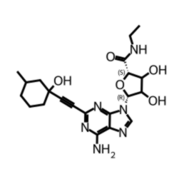 CCNC(=O)[C@H]1O[C@@H](n2cnc3c(N)nc(C#CC4(O)CCCC(C)C4)nc32)C(O)C1O